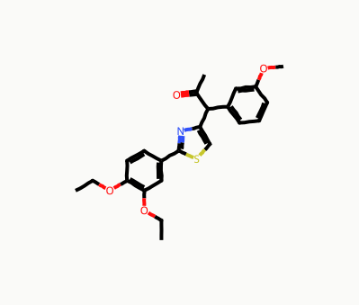 CCOc1ccc(-c2nc(C(C(C)=O)c3cccc(OC)c3)cs2)cc1OCC